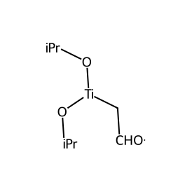 CC(C)[O][Ti]([CH2][C]=O)[O]C(C)C